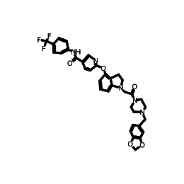 O=C(Nc1ccc(C(F)(F)F)cc1)c1ccc(Oc2cccc3c2CCN3CC(=O)N2CCN(Cc3ccc4c(c3)OCO4)CC2)nc1